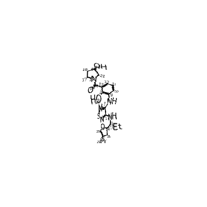 CC[C@@H](Nc1nsnc1Nc1cccc(C(=O)N2CC[C@@H](O)C2)c1O)C1CC(C(C)C)=CO1